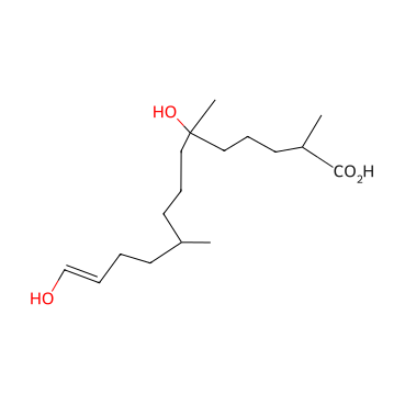 CC(CC/C=C/O)CCCC(C)(O)CCCC(C)C(=O)O